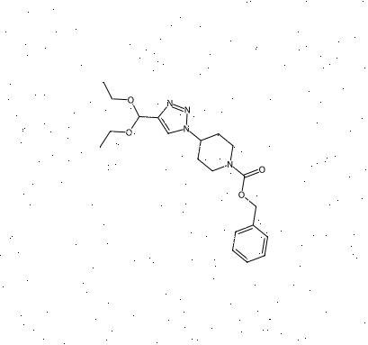 CCOC(OCC)c1cn(C2CCN(C(=O)OCc3ccccc3)CC2)nn1